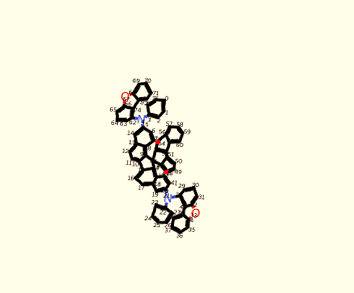 c1ccc(N(c2ccc3c4c(ccc3c2)-c2ccc3cc(N(c5ccccc5)c5cccc6oc7ccccc7c56)ccc3c2C42c3ccccc3-c3c2ccc2ccccc32)c2cccc3oc4ccccc4c23)cc1